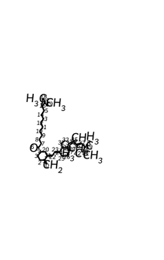 C=C1CC[C@H](C(=O)CCCCCCCCCCN(C)C)C/C1=C\C=C1/CCC[C@@]2(C)C1CC[C@@H]2[C@H](C)/C=C/[C@H](C)C(C)C